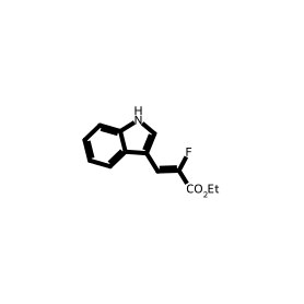 CCOC(=O)C(F)=Cc1c[nH]c2ccccc12